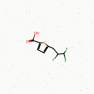 O=C(O)c1ccc(CC(F)C(F)F)s1